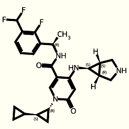 C[C@@H](NC(=O)c1cn([C@@H]2C[C@H]2C2CC2)c(=O)cc1N[C@H]1[C@@H]2CNC[C@@H]21)c1cccc(C(F)F)c1F